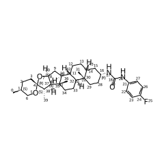 C[C@H]1CC[C@@]2(OC1)O[C@H]1C[C@H]3[C@@H]4CC[C@@H]5C[C@H](NC(=O)Nc6ccc(F)cc6)CC[C@]5(C)[C@H]4CC[C@]3(C)[C@H]1[C@@H]2C